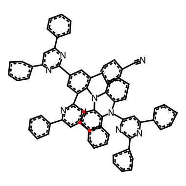 N#Cc1ccc(-c2cc(-c3nc(-c4ccccc4)cc(-c4ccccc4)n3)cc(-c3nc(-c4ccccc4)cc(-c4ccccc4)n3)c2N2c3ccccc3N(c3cc(-c4ccccc4)nc(-c4ccccc4)n3)c3ccccc32)cc1